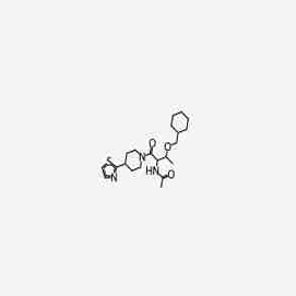 CC(=O)NC(C(=O)N1CCC(c2nccs2)CC1)C(C)OCC1CCCCC1